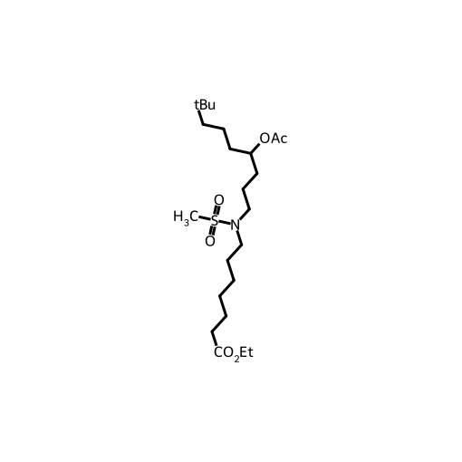 CCOC(=O)CCCCCCN(CCCC(CCCC(C)(C)C)OC(C)=O)S(C)(=O)=O